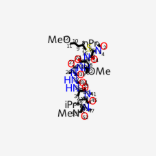 CCCC(=O)N(C)[C@H](SCCCCCOC)C(=O)N(C)[C@@H](CC(C)(C)OC)C(=O)NC(=O)N(C)C(=O)NC(=O)NC(C)C(=O)N(C)[C@H](C)C(=O)N(C)[C@@H](CC(C)C)C(=O)NC